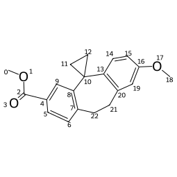 COC(=O)c1ccc2c(c1)C1(CC1)c1ccc(OC)cc1CC2